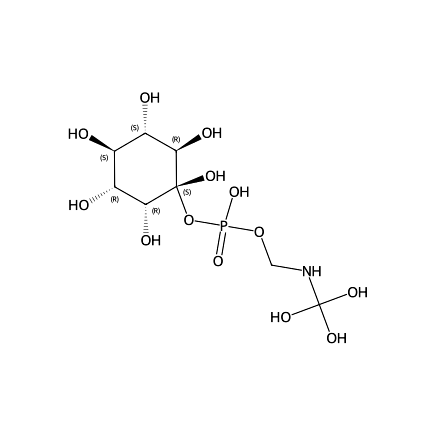 O=P(O)(OCNC(O)(O)O)O[C@]1(O)[C@H](O)[C@H](O)[C@@H](O)[C@H](O)[C@H]1O